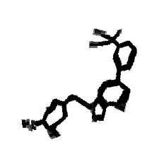 CC1C=CC(Cn2ncc3ncc(-c4cccc(C(F)(F)F)c4)cc32)=CN1